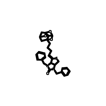 O=C1N(Cc2ccccc2)C2CS/C(=C\CCCC34CC5CC(C3)OC(O5)O4)C2N1Cc1ccccc1